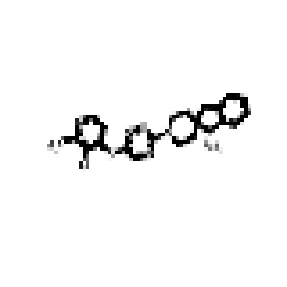 Cc1nccc(Sc2cnc(N3CCC4(CC3)Cc3ccccc3[C@H]4N)nn2)c1Cl